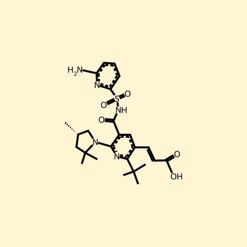 C[C@@H]1CN(c2nc(C(C)(C)C)c(C=CC(=O)O)cc2C(=O)NS(=O)(=O)c2cccc(N)n2)C(C)(C)C1